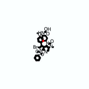 COc1ccc(-c2c(Br)n(S(=O)(=O)c3ccccc3)c3ncc4c(c23)n([C@H]2CC[C@@](C)(NC(=O)O)CC2)c(=O)n4C)cc1